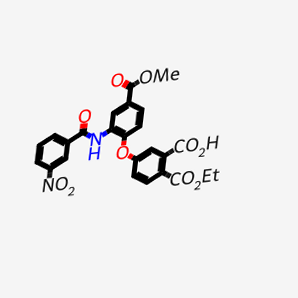 CCOC(=O)c1ccc(Oc2ccc(C(=O)OC)cc2NC(=O)c2cccc([N+](=O)[O-])c2)cc1C(=O)O